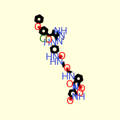 O=C1CCC(N2C(=O)c3cccc(NCCOCCNC(=O)NC4CCC(Nc5ncnc6[nH]cc(C(=O)c7ccc(Oc8ccccc8)cc7Cl)c56)CC4)c3C2=O)C(=O)N1